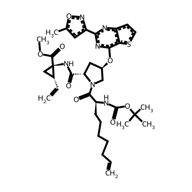 C=CCCCCC[C@H](NC(=O)OC(C)(C)C)C(=O)N1C[C@H](Oc2nc(-c3cc(C)on3)nc3ccsc23)C[C@H]1C(=O)N[C@]1(C(=O)OC)C[C@H]1C=C